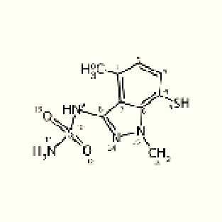 Cc1ccc(S)c2c1c(NS(N)(=O)=O)nn2C